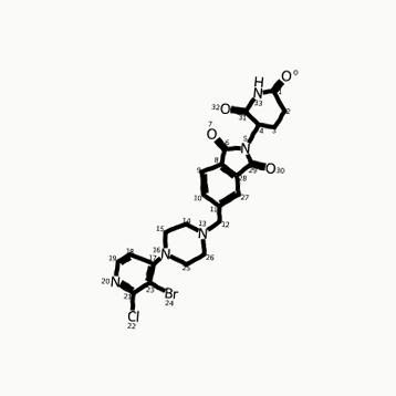 O=C1CCC(N2C(=O)c3ccc(CN4CCN(c5ccnc(Cl)c5Br)CC4)cc3C2=O)C(=O)N1